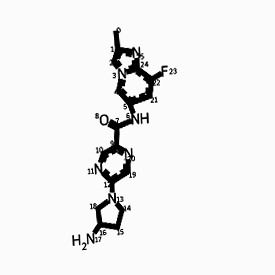 Cc1cn2cc(NC(=O)c3cnc(N4CCC(N)C4)cn3)cc(F)c2n1